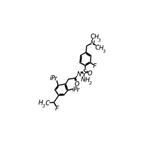 CC(C)c1cc(C(C)F)cc(C(C)C)c1CC(=O)N=S(N)(=O)c1ccc(CN(C)C)cc1F